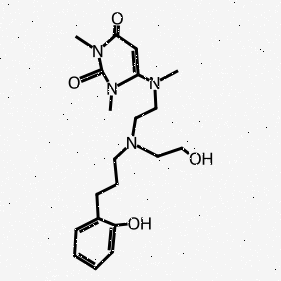 CN(CCN(CCO)CCCc1ccccc1O)c1cc(=O)n(C)c(=O)n1C